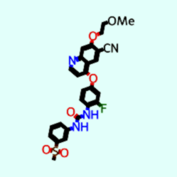 COCCOc1cc2nccc(Oc3ccc(NC(=O)Nc4cccc(S(C)(=O)=O)c4)c(F)c3)c2cc1C#N